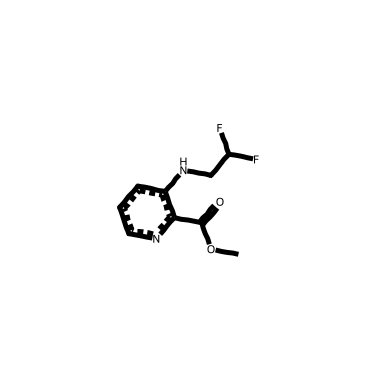 COC(=O)c1ncccc1NCC(F)F